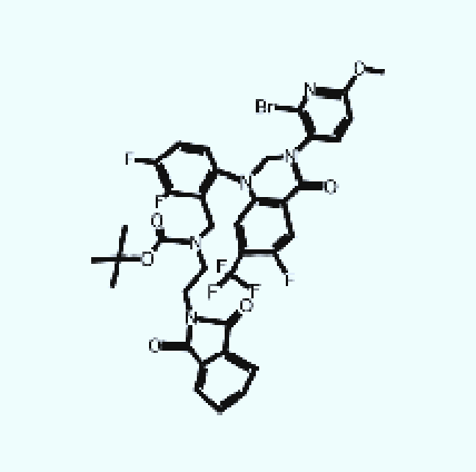 COc1ccc(N2CN(c3ccc(F)c(F)c3CN(CCN3C(=O)c4ccccc4C3=O)C(=O)OC(C)(C)C)c3cc(C(F)(F)F)c(F)cc3C2=O)c(Br)n1